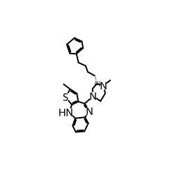 Cc1cc2c(s1)Nc1ccccc1N=C2N1CCN(C)[C@@H](CCCCc2ccccc2)C1